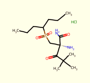 CCCC(CCC)S(=O)(=O)C[C@@](N)(C(N)=O)C(=O)C(C)(C)C.Cl